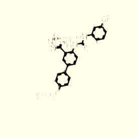 CCOC(=O)c1ccc(-c2ccc(NC(=O)Nc3cccc(C(F)(F)F)c3)c(-c3nnn[nH]3)c2)cc1